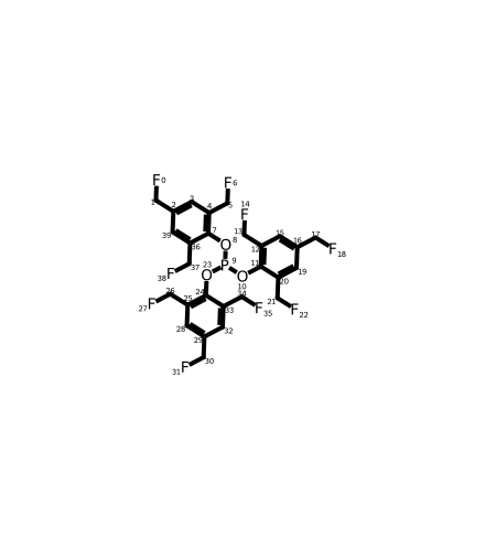 FCc1cc(CF)c(OP(Oc2c(CF)cc(CF)cc2CF)Oc2c(CF)cc(CF)cc2CF)c(CF)c1